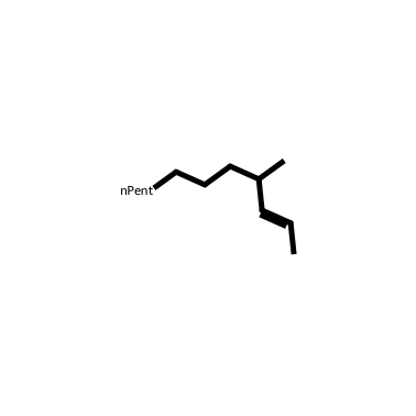 CC=CC(C)CCCCCCCC